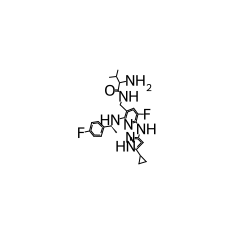 CC(C)C(N)C(=O)NCc1cc(F)c(Nc2cc(C3CC3)[nH]n2)nc1N[C@@H](C)c1ccc(F)cc1